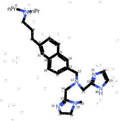 CCCN(CCC)CCCc1ccc2cc(CN(CC3=NCCN3C)Cc3ncc[nH]3)ccc2c1